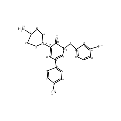 N#Cc1ccc(-c2cn(Cc3cccc(F)c3)c(=O)c(N3CCC(N)CC3)n2)cc1